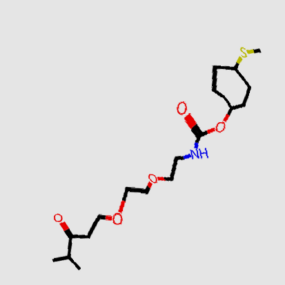 CSC1CCC(OC(=O)NCCOCCOCCC(=O)C(C)C)CC1